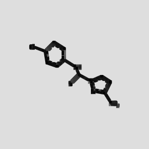 O=[N+]([O-])c1ccn(C(=S)Nc2ccc(Cl)cc2)n1